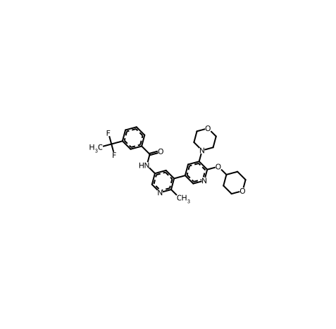 Cc1ncc(NC(=O)c2cccc(C(C)(F)F)c2)cc1-c1cnc(OC2CCOCC2)c(N2CCOCC2)c1